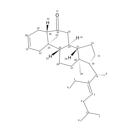 CC/C(=C\CC(C)C)[C@@H](C)[C@H]1CC[C@H]2[C@@H]3CC(=O)[C@H]4CC=CC[C@]4(C)[C@H]3CC[C@]12C